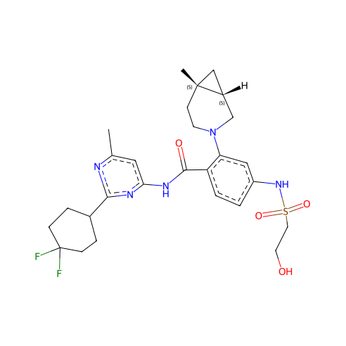 Cc1cc(NC(=O)c2ccc(NS(=O)(=O)CCO)cc2N2CC[C@]3(C)C[C@@H]3C2)nc(C2CCC(F)(F)CC2)n1